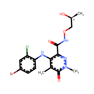 Cc1c(Nc2ccc(Br)cc2Cl)c(C(=O)NOC[C@H](C)O)nn(C)c1=O